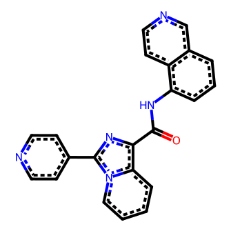 O=C(Nc1cccc2cnccc12)c1nc(-c2ccncc2)n2ccccc12